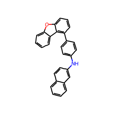 c1ccc2cc(Nc3ccc(-c4cccc5oc6ccccc6c45)cc3)ccc2c1